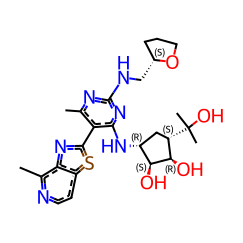 Cc1nc(NC[C@@H]2CCCO2)nc(N[C@@H]2C[C@H](C(C)(C)O)[C@@H](O)[C@H]2O)c1-c1nc2c(C)nccc2s1